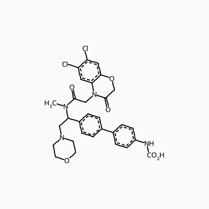 CN(C(=O)CN1C(=O)COc2cc(Cl)c(Cl)cc21)C(CN1CCOCC1)c1ccc(-c2ccc(NC(=O)O)cc2)cc1